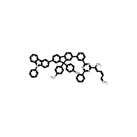 C=C/C=C\C=C(/C)c1nc(-c2ccccc2)nc(-c2cccc(-c3ccc4c(c3)C(c3ccc(C)cc3)(c3ccc(C)cc3)c3cc(-c5ccc6c(c5)c5ccccc5n6-c5ccccc5)ccc3-4)c2)n1